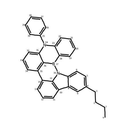 CCCCc1ccc2c(c1)c1cccc3c1n2B1c2ccccc2N(c2ccccc2)c2cccc-3c21